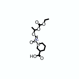 CCOC(=O)OC(C)O/N=[N+](\[O-])N1CCCC(C(=O)O)C1